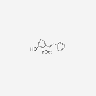 CCCCCCCCc1c(O)cccc1C=Cc1ccccc1